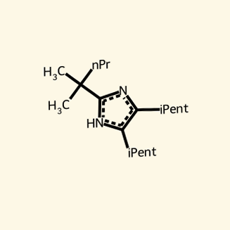 CCCC(C)c1nc(C(C)(C)CCC)[nH]c1C(C)CCC